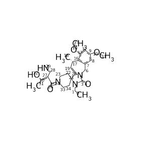 CCN1C(=O)N2Cc3cc(OC)cc(OC)c3[C@@H](C)C=C2C12CCN(C(=O)/C(C=N)=C(\C)O)CC2